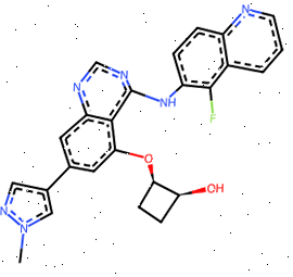 Cn1cc(-c2cc(O[C@@H]3CC[C@@H]3O)c3c(Nc4ccc5ncccc5c4F)ncnc3c2)cn1